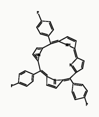 Fc1ccc(-c2c3nc(c4ccc([nH]4)c(-c4ccc(F)cc4)c4ccc([nH]4)c(-c4ccc(F)cc4)c4ccc2[nH]4)C=C3)cc1